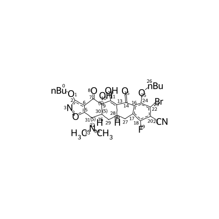 CCCCOc1noc2c1C(=O)[C@@]1(O)C(O)=C3C(=O)c4c(c(F)c(C#N)c(Br)c4OCCCC)C[C@H]3C[C@H]1[C@@H]2N(C)C